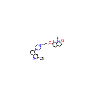 N#Cc1cnc2cccc(N3CCN(CCCCOc4ccc5ccc(=O)[nH]c5n4)CC3)c2c1